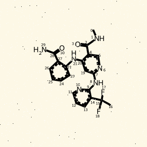 CNC(=O)c1cnc(Nc2ncccc2C(C)(F)F)cc1Nc1ccccc1C(N)=O